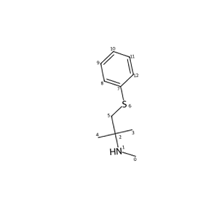 CNC(C)(C)CSc1ccccc1